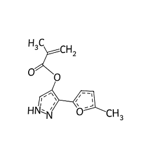 C=C(C)C(=O)Oc1c[nH]nc1-c1ccc(C)o1